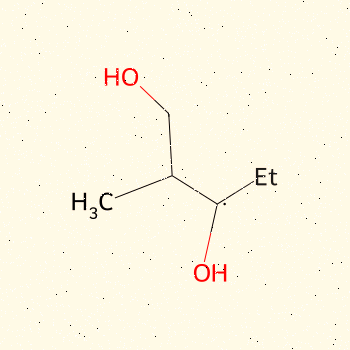 CC[C](O)C(C)CO